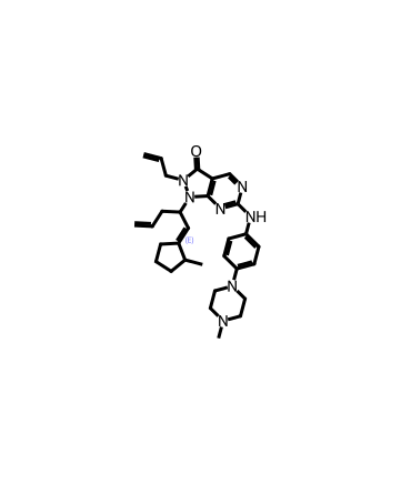 C=CCC(/C=C1\CCCC1C)n1c2nc(Nc3ccc(N4CCN(C)CC4)cc3)ncc2c(=O)n1CC=C